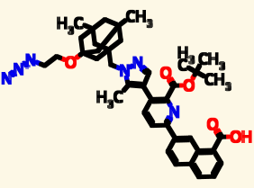 Cc1c(-c2ccc(-c3ccc4cccc(C(=O)O)c4c3)nc2C(=O)OC(C)(C)C)cnn1CC12CC3(C)CC(C)(C1)CC(OCCN=[N+]=[N-])(C3)C2